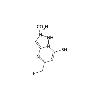 O=C(O)N1C=C2N=C(CF)C=C(S)N2N1